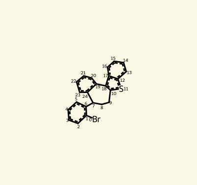 Brc1ccccc1C1CCc2sc3ccccc3c2-c2ccccc21